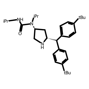 CC(C)NC(=O)N(C(C)C)[C@H]1CN[C@@H](C(c2ccc(C(C)(C)C)cc2)c2ccc(C(C)(C)C)cc2)C1